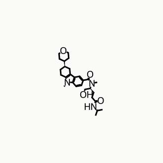 CC(C)NC(=O)CC[C@@H](CO)N(C)C(=O)c1ccc2c(c1)c1c(n2C)CC[C@@H](C2CCOCC2)C1